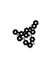 CC1(c2ccc3ccccc3c2)c2ccc(-c3ccc4sc5ccccc5c4c3)cc2-c2c(N(c3cccc(N(c4ccccc4)c4ccccc4)c3)c3ccc4sc5ccccc5c4c3)cccc21